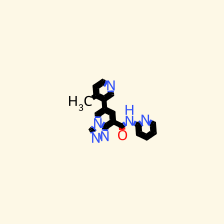 Cc1ccncc1-c1cc(C(=O)Nc2ccccn2)c2nncn2c1